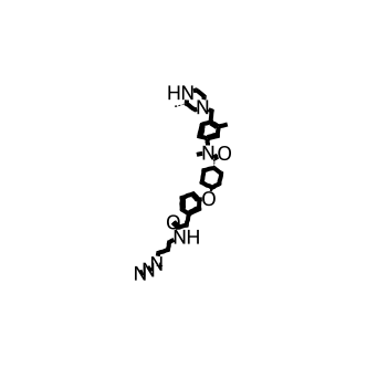 Cc1cc(N(C)C(=O)[C@H]2CC[C@H](Oc3cccc(CC(=O)NCCCN=[N+]=[N-])c3)CC2)ccc1CN1CCN[C@@H](C)C1